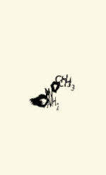 CC1(C)C=CC(N=Nc2ccccc2N)=CC1